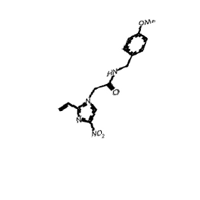 C=Cc1nc([N+](=O)[O-])cn1CC(=O)NCc1ccc(OC)cc1